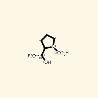 O=C(O)N1CCCC1[C@H](O)C(F)(F)F